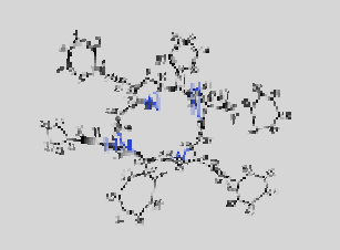 C(#Cc1ccccc1)C1=Cc2nc1cc1[nH]c(cc1C#CC1CCCC1)c(C1CCCCCC1)c1nc(cc3[nH]c(cc3C#CC3CCCCC3)c2-c2ccccc2)C(C#CC2CCCCC2)=C1